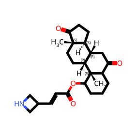 C[C@]12C(OC(=O)C=CC3CNC3)CCCC1C(=O)C[C@@H]1[C@H]2CC[C@]2(C)C(=O)CC[C@@H]12